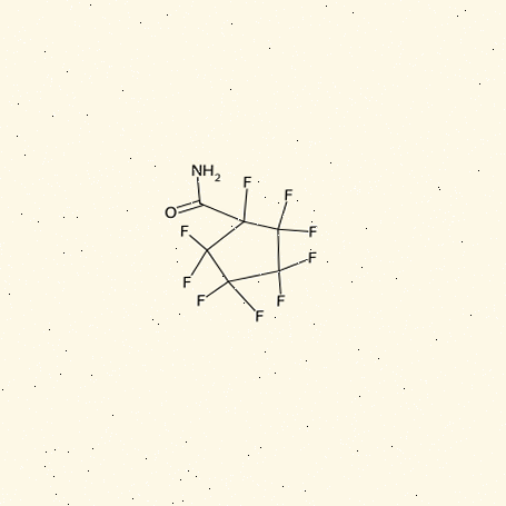 NC(=O)C1(F)C(F)(F)C(F)(F)C(F)(F)C1(F)F